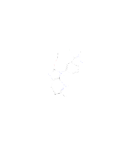 CCOc1nc2ccc(C)nc2n1-c1ccc2[nH]nc(F)c2c1